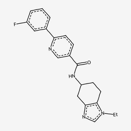 CCn1cnc2c1CCC(NC(=O)c1ccc(-c3cccc(F)c3)nc1)C2